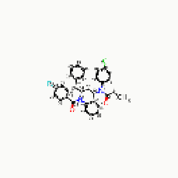 CCC(=O)N(c1ccc(Cl)cc1)C1CC(Cc2ccccc2)N(C(=O)c2ccc(F)cc2)c2ccccc21